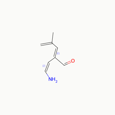 C=C(C)/C=C(C=O)\C=C/N